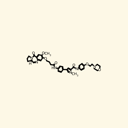 COc1cc2c(cc1OCCCC(=O)Nc1ccc(-c3cc(C(=O)Nc4ccc(OCCN5CCOCC5)cc4)n(C)c3)cc1)N=C[C@@H]1CCCN1C2=O